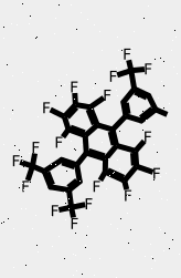 Cc1cc(-c2c3c(F)c(F)c(F)c(F)c3c(-c3cc(C(F)(F)F)cc(C(F)(F)F)c3)c3c(F)c(F)c(F)c(F)c23)cc(C(F)(F)F)c1